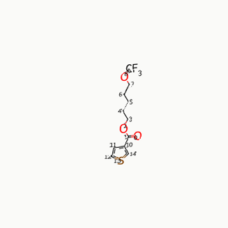 O=C(OCCCCCOC(F)(F)F)c1ccsc1